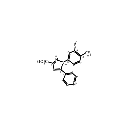 CCOC(=O)c1cc(-c2ccncc2)n(-c2ccc(C(F)(F)F)c(F)c2)n1